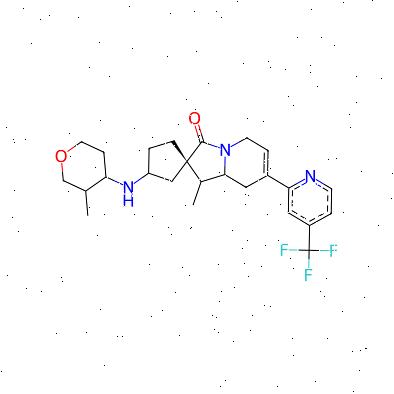 CC1COCCC1NC1CC[C@@]2(C1)C(=O)N1CC=C(c3cc(C(F)(F)F)ccn3)CC1C2C